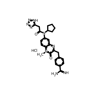 Cl.Cn1c(=O)c(Cc2ccc(C(=N)N)cc2)nc2cc(N(C(=O)Cc3nnn[nH]3)C3CCCC3)ccc21